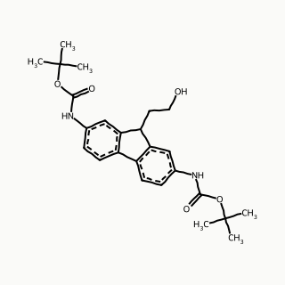 CC(C)(C)OC(=O)Nc1ccc2c(c1)C(CCO)c1cc(NC(=O)OC(C)(C)C)ccc1-2